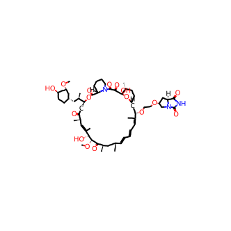 CO[C@@H]1C[C@H](C[C@@H](C)[C@@H]2CC(=O)[C@H](C)/C=C(\C)[C@@H](O)[C@@H](OC)C(=O)[C@H](C)C[C@H](C)/C=C/C=C/C=C(\C)[C@@H](OCCO[C@@H]3C[C@H]4C(=O)NC(=O)N4C3)C[C@@H]3CC[C@@H](C)[C@@](O)(O3)C(=O)C(=O)N3CCCC[C@H]3C(=O)O2)CC[C@H]1O